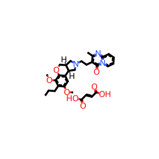 CCCc1c(OC)cc2c(c1OC)OC[C@H]1CN(CCc3c(C)nc4ccccn4c3=O)C[C@@H]21.O=C(O)/C=C/C(=O)O